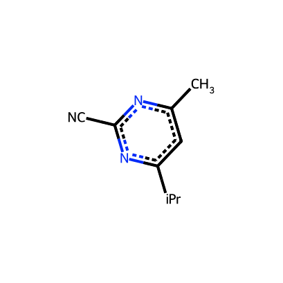 Cc1cc(C(C)C)nc(C#N)n1